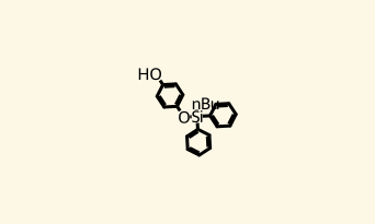 CCCC[Si](Oc1ccc(O)cc1)(c1ccccc1)c1ccccc1